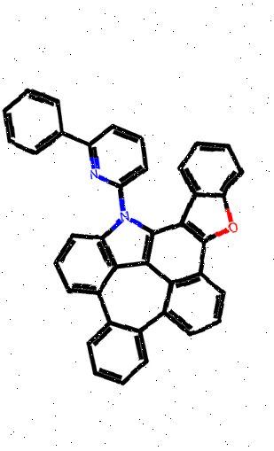 c1ccc(-c2cccc(-n3c4cccc5c4c4c6c(cccc6c6oc7ccccc7c6c43)-c3ccccc3-5)n2)cc1